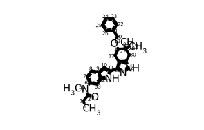 CCC(=O)N(C)c1ccc2cc(-c3n[nH]c4c3CC(OCc3ccccc3)C(C)(C)C4)[nH]c2c1